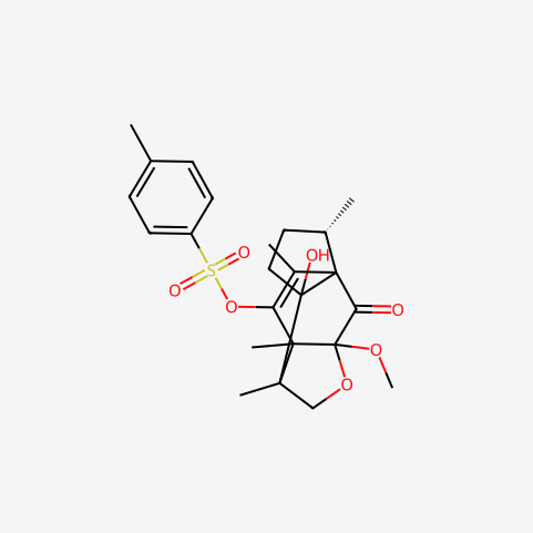 COC12OCC3(C)C4(O)CC[C@H](C)C4(C1=O)C(C)=C(OS(=O)(=O)c1ccc(C)cc1)C23C